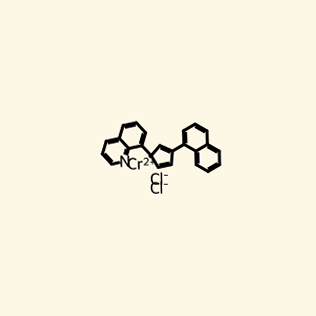 [Cl-].[Cl-].[Cr+2][C]1(c2cccc3cccnc23)C=CC(c2cccc3ccccc23)=C1